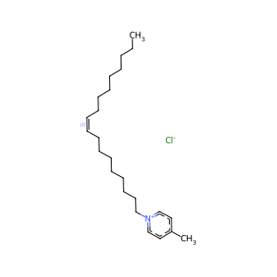 CCCCCCCC/C=C\CCCCCCCC[n+]1ccc(C)cc1.[Cl-]